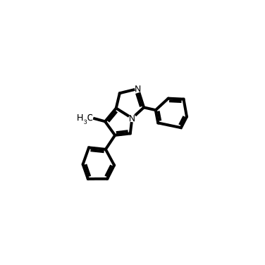 Cc1c(-c2ccccc2)cn2c1CN=C2c1ccccc1